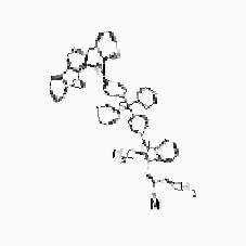 C=C/C(C#N)=C\c1c(C)n(-c2ccc([Si](c3ccccc3)(c3ccccc3)c3ccc(-n4c5ccccc5c5ccc6c7ccccc7oc6c54)cc3)cc2)c2ccccc12